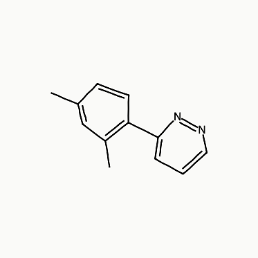 Cc1ccc(-c2cccnn2)c(C)c1